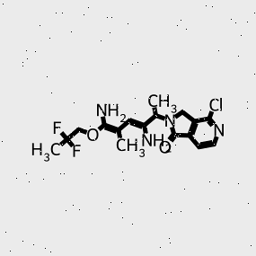 CC(/C=C(\N)C(C)N1Cc2c(ccnc2Cl)C1=O)=C(/N)OCC(C)(F)F